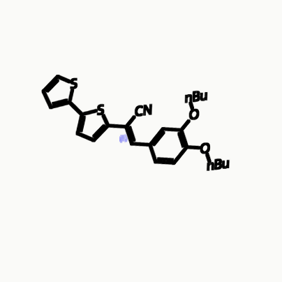 CCCCOc1ccc(/C=C(\C#N)c2ccc(-c3cccs3)s2)cc1OCCCC